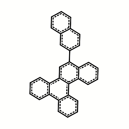 c1ccc2cc(-c3cc4c5ccccc5c5ccccc5c4c4ccccc34)ccc2c1